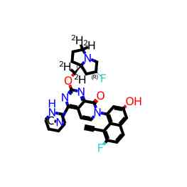 [2H]C1([2H])CC[C@@]2(C([2H])([2H])Oc3nc(N4CC5CCC4CN5)c4ccn(-c5cc(O)cc6ccc(F)c(C#C)c56)c(=O)c4n3)C[C@@H](F)CN12